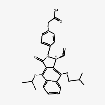 CC(C)COc1c2c(c(OC(C)C)c3ccccc13)C(=O)N(c1ccc(CC(=O)O)cc1)[C@H]2C=O